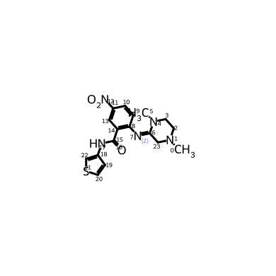 CN1CCN(C)/C(=N\c2ccc([N+](=O)[O-])cc2C(=O)Nc2ccsc2)C1